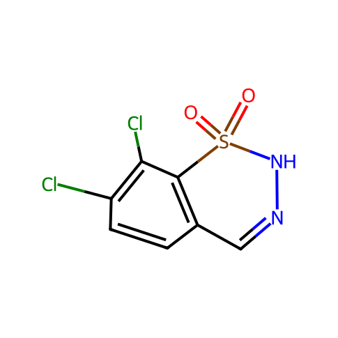 O=S1(=O)NN=Cc2ccc(Cl)c(Cl)c21